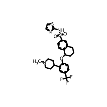 CN1CCC(c2cc(C(F)(F)F)ccc2OC2CCCc3cc(S(=O)(=O)Nc4nccs4)ccc32)CC1